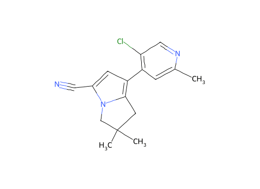 Cc1cc(-c2cc(C#N)n3c2CC(C)(C)C3)c(Cl)cn1